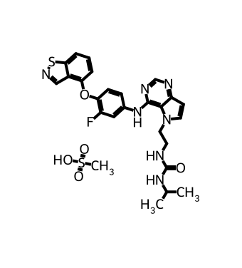 CC(C)NC(=O)NCCn1ccc2ncnc(Nc3ccc(Oc4cccc5sncc45)c(F)c3)c21.CS(=O)(=O)O